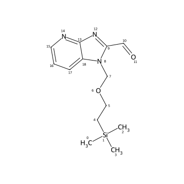 C[Si](C)(C)CCOCn1c(C=O)nc2ncccc21